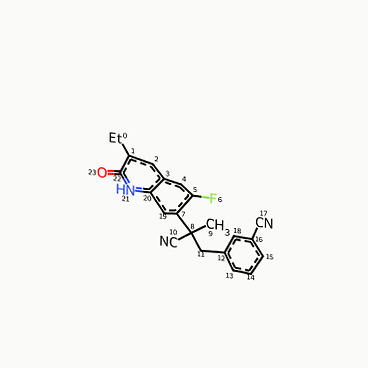 CCc1cc2cc(F)c(C(C)(C#N)Cc3cccc(C#N)c3)cc2[nH]c1=O